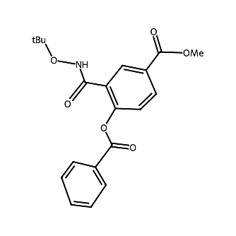 COC(=O)c1ccc(OC(=O)c2ccccc2)c(C(=O)NOC(C)(C)C)c1